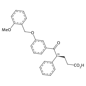 COc1ccccc1COc1cccc(C(=O)[C@@H](CCC(=O)O)c2ccccc2)c1